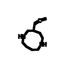 C=C=CC1CCNCCCCNC1